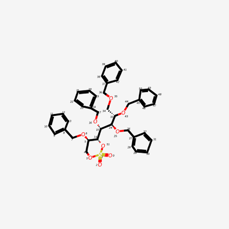 O=S1(=O)OC[C@@H](OCc2ccccc2)[C@H]([C@H](OCc2ccccc2)[C@H](OCc2ccccc2)[C@H](COCc2ccccc2)OCc2ccccc2)O1